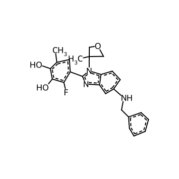 Cc1cc(-c2nc3cc(NCc4ccccc4)ccc3n2C2(C)COC2)c(F)c(O)c1O